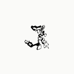 C=Cc1ccc(C(=O)NC(CC(C)C)C(=O)N2CCC3C2C(=O)CN3S(=O)(=O)Cc2ccccn2)cc1